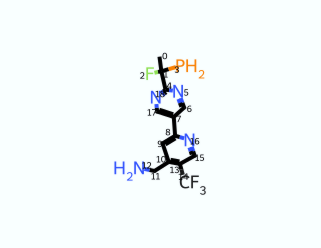 CC(F)(P)c1ncc(-c2cc(CN)c(C(F)(F)F)cn2)cn1